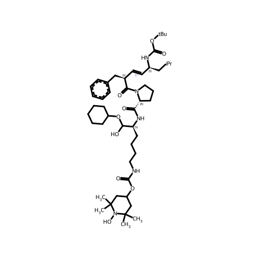 CC(C)C[C@@H](/C=C/[C@H](Cc1ccccc1)C(=O)N1CCC[C@@H]1C(=O)N[C@@H](CCCCNC(=O)OC1CC(C)(C)N(O)C(C)(C)C1)C(O)OC1CCCCC1)NC(=O)OC(C)(C)C